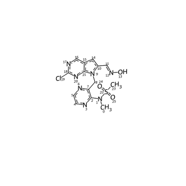 CN(c1nccnc1Cn1c(C=NO)cc2cnc(Cl)nc21)S(C)(=O)=O